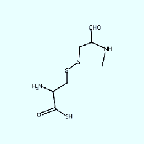 NC(CSSCC(C=O)NI)C(=O)S